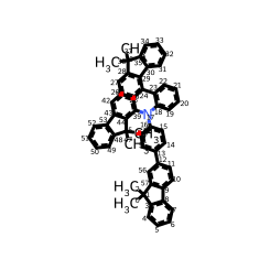 CC1(C)c2ccccc2-c2ccc(-c3ccc(N(c4ccccc4-c4cccc5c4-c4ccccc4C5(C)C)c4cccc5c4C(C)(C)c4ccccc4-5)cc3)cc21